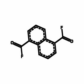 O=C(F)c1cccc2c(C(=O)F)cccc12